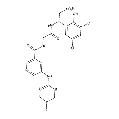 O=C(O)CC(NC(=O)CNC(=O)c1cncc(NC2=NCC(F)CN2)c1)c1cc(Cl)cc(Cl)c1O